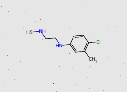 Cc1cc(NCCNS)ccc1Cl